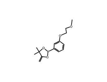 C=C1OB(c2cccc(OCCOC)c2)OC1(C)C